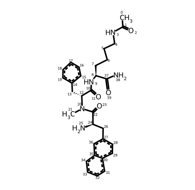 CC(=O)NCCCC[C@H](NC(=O)[C@@H](Cc1ccccc1)N(C)C(=O)[C@H](N)Cc1ccc2ccccc2c1)C(N)=O